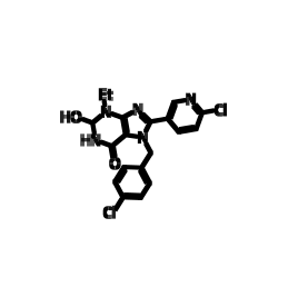 CCN1c2nc(-c3ccc(Cl)nc3)n(Cc3ccc(Cl)cc3)c2C(=O)NC1O